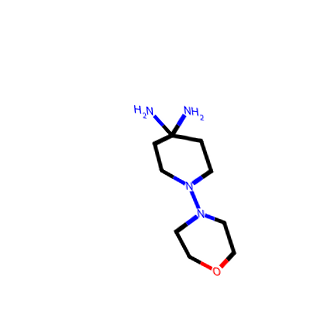 NC1(N)CCN(N2CCOCC2)CC1